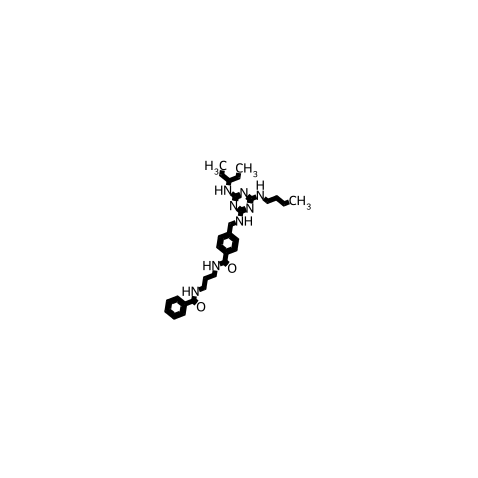 CCCCNc1nc(NCc2ccc(C(=O)NCCCNC(=O)c3ccccc3)cc2)nc(NC(CC)CC)n1